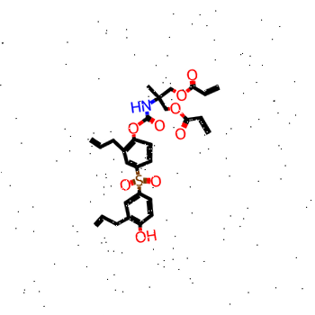 C=CCc1cc(S(=O)(=O)c2ccc(OC(=O)NC(C)(COC(=O)C=C)COC(=O)C=C)c(CC=C)c2)ccc1O